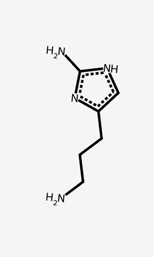 NCCCc1c[nH]c(N)n1